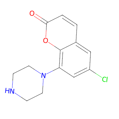 O=c1ccc2cc(Cl)cc(N3CCNCC3)c2o1